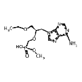 CCOC[C@@H](Cn1cnc2c(N)ncnc21)OCP(=O)(O)OC